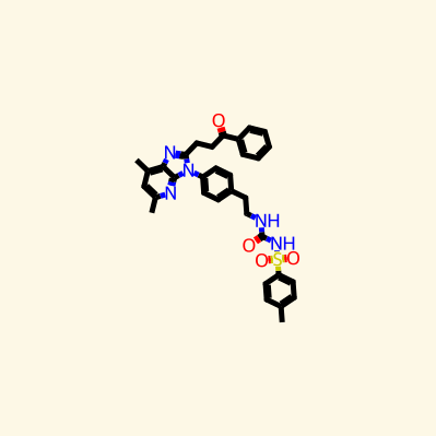 Cc1ccc(S(=O)(=O)NC(=O)NCCc2ccc(-n3c(CCC(=O)c4ccccc4)nc4c(C)cc(C)nc43)cc2)cc1